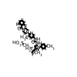 CS(=O)(=O)O.Cc1ccc(-n2nc(C(C)(C)CF)cc2NC(=O)Nc2cnc(N3CCN(C(=O)c4c(F)cccc4F)CC3)c(C)c2)cc1